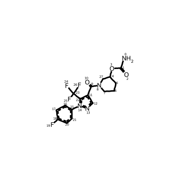 NC(=O)OC1CCCN(C(=O)c2cnn(-c3ccc(F)cc3)c2C(F)(F)F)C1